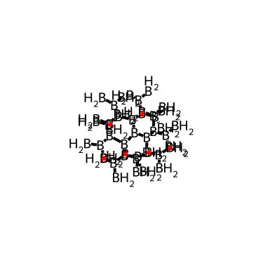 BB(B)B(B(B)B)B(B(B(B)B)B(B)B)B(B(B(B(B)B)B(B)B)B(B(B)B)B(B)B)B(B(B(B)B)B(B)B)B(B(B)B)B(B)B